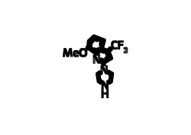 COc1cccc2c(C(F)(F)F)cc(N3CCNCC3)nc12